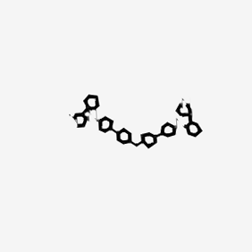 c1ccc2c(c1)c1cnccc1n2-c1ccc(-c2ccc(Cc3ccc(-c4ccc(-n5c6ccccc6c6cnccc65)cc4)cc3)cc2)cc1